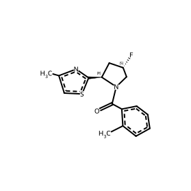 Cc1csc([C@H]2C[C@H](F)CN2C(=O)c2ccccc2C)n1